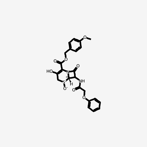 COc1ccc(COC(=O)C2=C(O)C[S+]([O-])[C@H]3C(NC(=O)COc4ccccc4)C(=O)N23)cc1